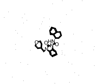 O=C(N[C@H]1CCCc2ccccc21)n1c(=O)n(CC2CCOCC2)c2ccccc21